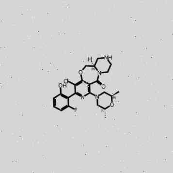 C[C@@H]1CN(c2nc(-c3c(O)cccc3F)c(Cl)c3c2C(=O)N2CCNC[C@@H]2CO3)C[C@@H](C)O1